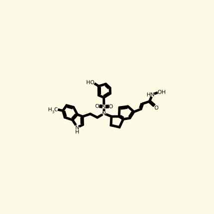 Cc1ccc2c(CCN(C3CCc4cc(/C=C/C(=O)NO)ccc43)S(=O)(=O)c3cccc(O)c3)c[nH]c2c1